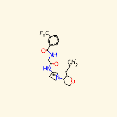 C=CCC1COCCC1N1CC[C@@H](NC(=O)CNC(=O)c2cccc(C(F)(F)F)c2)C1